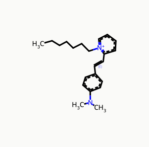 CCCCCCC[n+]1ccccc1/C=C/c1ccc(N(C)C)cc1